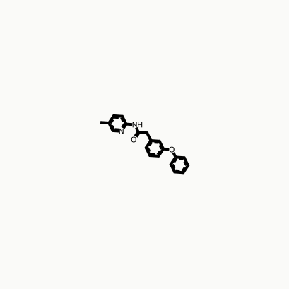 Cc1ccc(NC(=O)Cc2cccc(Oc3ccccc3)c2)nc1